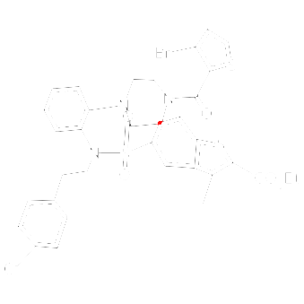 CCOC(=O)c1sc2ccc(S(=O)(=O)N(CCc3ccc(Cl)cc3)c3ccccc3N3CCN(C(=O)c4sccc4Br)CC3)cc2c1C